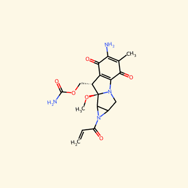 C=CC(=O)N1C2CN3C4=C(C(=O)C(N)=C(C)C4=O)[C@@H](COC(N)=O)[C@@]3(OC)C21